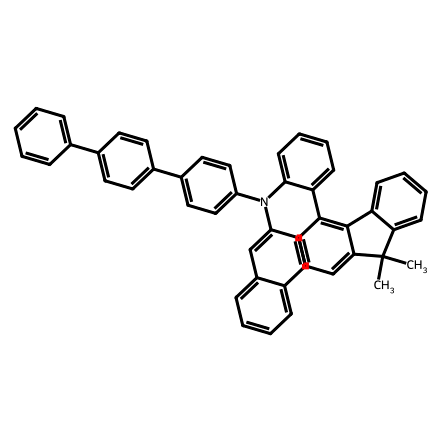 CC1(C)c2ccccc2-c2c(-c3ccccc3N(c3ccc(-c4ccc(-c5ccccc5)cc4)cc3)c3ccc4ccccc4c3)cccc21